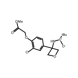 COC(=O)COc1ccc(C2(N[S+]([O-])C(C)(C)C)COC2)cc1Cl